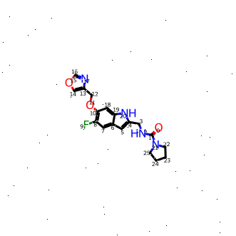 O=C(NCc1cc2cc(F)c(OCc3cocn3)cc2[nH]1)N1CCCC1